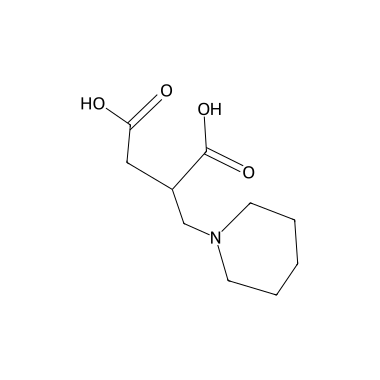 O=C(O)CC(CN1CCCCC1)C(=O)O